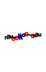 CCCCOCCCCOc1ccc(-c2ncc(OCC3OC3CCCC)cn2)cc1